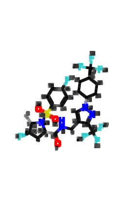 C[C@H]1[C@H](F)C[C@@H](C(=O)NCc2cn([C@H]3CC[C@H](C(F)(F)F)CC3)nc2C(F)(F)F)N1S(=O)(=O)c1ccc(F)cc1